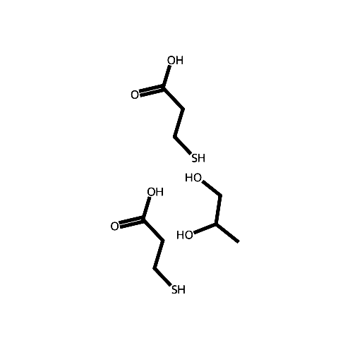 CC(O)CO.O=C(O)CCS.O=C(O)CCS